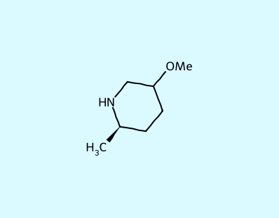 COC1CC[C@@H](C)NC1